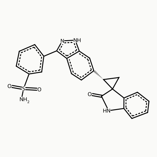 NS(=O)(=O)c1cccc(-c2n[nH]c3cc([C@@H]4CC45C(=O)Nc4ccccc45)ccc23)c1